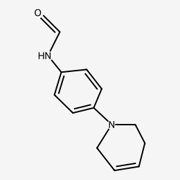 O=CNc1ccc(N2CC=CCC2)cc1